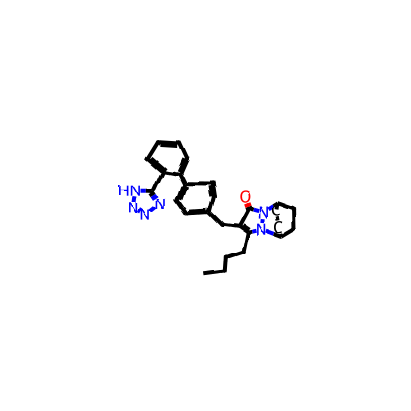 CCCCc1c(Cc2ccc(-c3ccccc3-c3nnn[nH]3)cc2)c(=O)n2n1C1CCC2CC1